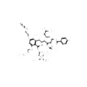 [3H][C@@H](C)[C@@H](C)CC[C@H](OC(=O)c1ccccc1)[C@H]1OC(C)(C)OC1CCCc1cc(OCCN=[N+]=[N-])cc(OCOC)c1C(=O)OCC[Si](C)(C)C